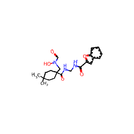 CC1(C)CCC(CN(O)C=O)(C(=O)NCNC(=O)c2cc3ccccc3o2)CC1